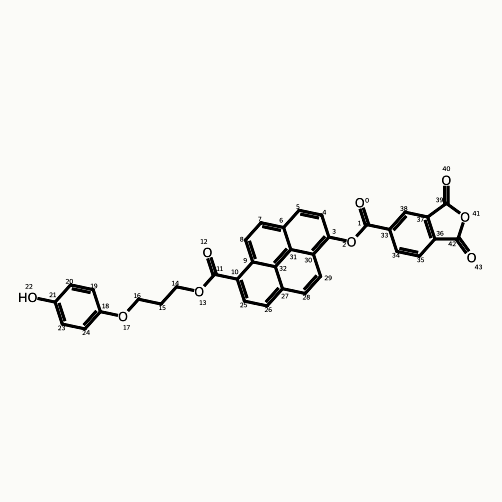 O=C(Oc1ccc2ccc3c(C(=O)OCCCOc4ccc(O)cc4)ccc4ccc1c2c43)c1ccc2c(c1)C(=O)OC2=O